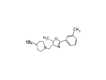 Cc1cccc(-c2nc(CN3CCC(C(C)(C)C)CC3)c(C)o2)c1